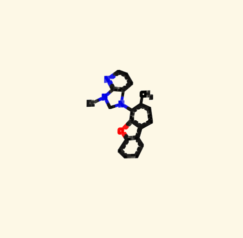 CCN1CN(c2c(C)ccc3c2oc2ccccc23)c2cccnc21